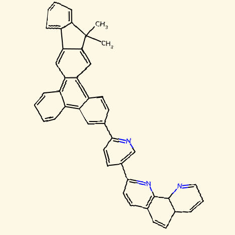 CC1(C)c2ccccc2-c2cc3c4ccccc4c4cc(-c5ccc(-c6ccc7c(n6)C6N=CC=CC6C=C7)cn5)ccc4c3cc21